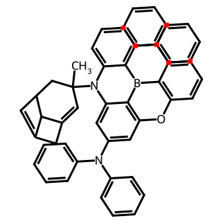 CC1(N2c3cc(N(c4ccccc4)c4ccccc4)cc4c3B(c3c(cccc3-c3ccccc3)O4)c3c(-c4ccccc4)cccc32)C=C2CC3=CC(C1)C32